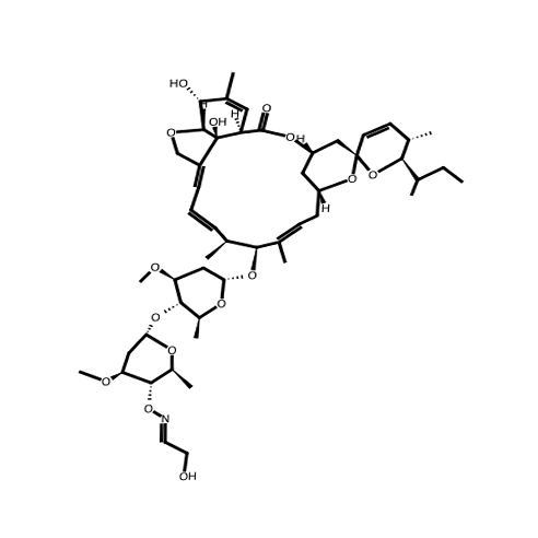 CCC(C)[C@H]1O[C@]2(C=C[C@@H]1C)C[C@@H]1C[C@@H](C/C=C(\C)[C@@H](O[C@H]3C[C@H](OC)[C@@H](O[C@H]4C[C@H](OC)[C@@H](O/N=C/CO)[C@H](C)O4)[C@H](C)O3)[C@@H](C)/C=C/C=C3\CO[C@@H]4[C@H](O)C(C)=C[C@@H](C(=O)O1)[C@]34O)O2